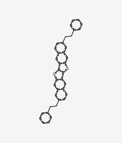 c1ccc(CCc2ccc3cc4c(cc3c2)sc2c3cc5ccc(CCc6ccccc6)cc5cc3sc42)cc1